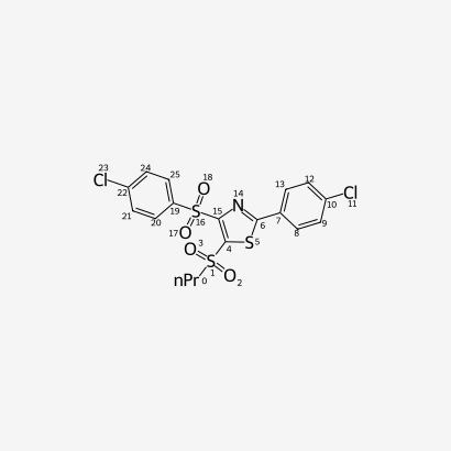 CCCS(=O)(=O)c1sc(-c2ccc(Cl)cc2)nc1S(=O)(=O)c1ccc(Cl)cc1